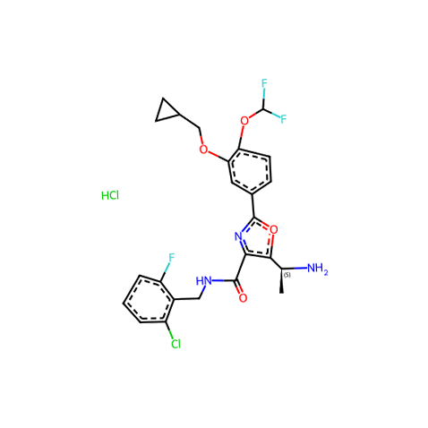 C[C@H](N)c1oc(-c2ccc(OC(F)F)c(OCC3CC3)c2)nc1C(=O)NCc1c(F)cccc1Cl.Cl